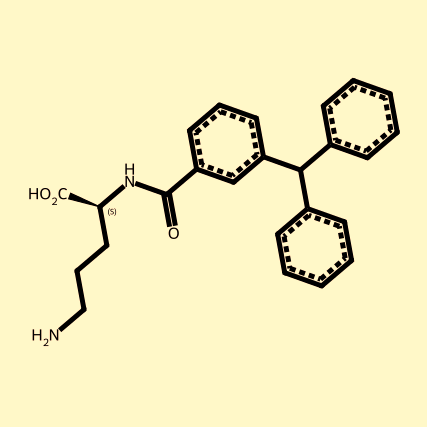 NCCC[C@H](NC(=O)c1cccc(C(c2ccccc2)c2ccccc2)c1)C(=O)O